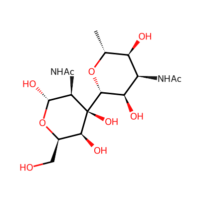 CC(=O)N[C@H]1[C@@H](O)[C@H]([C@@]2(O)[C@H](NC(C)=O)[C@@H](O)O[C@H](CO)[C@@H]2O)O[C@H](C)[C@H]1O